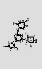 Cc1cc(C)n(-c2cc(N3C[C@@H]4C[C@H]3CN4)nc(Nc3ccc(F)cc3F)n2)n1